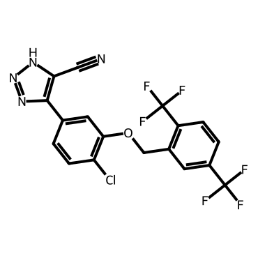 N#Cc1[nH]nnc1-c1ccc(Cl)c(OCc2cc(C(F)(F)F)ccc2C(F)(F)F)c1